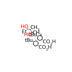 CC(C)(C)c1ccc(C(=O)O)cc1.CC(C)(C)c1ccc(C(=O)O)cc1.CCC(O)C(C)C(C)O